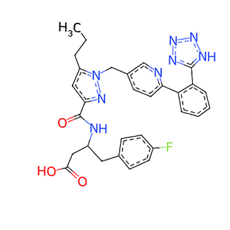 CCCc1cc(C(=O)NC(CC(=O)O)Cc2ccc(F)cc2)nn1Cc1ccc(-c2ccccc2-c2nnn[nH]2)nc1